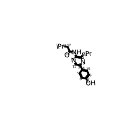 CCCc1nc(-c2ccc(O)cc2)cnc1NC(=O)CC(C)C